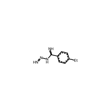 CCc1ccc(C(=N)NN=N)cc1